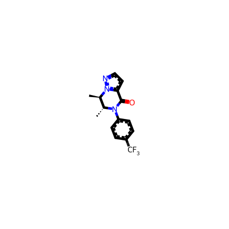 C[C@@H]1[C@@H](C)n2nccc2C(=O)N1c1ccc(C(F)(F)F)cc1